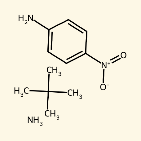 CC(C)(C)C.N.Nc1ccc([N+](=O)[O-])cc1